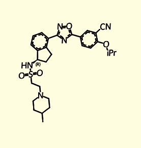 CC1CCN(CCS(=O)(=O)N[C@@H]2CCc3c(-c4noc(-c5ccc(OC(C)C)c(C#N)c5)n4)cccc32)CC1